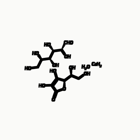 O.O=C1O[C@H]([C@@H](O)CO)C(O)=C1O.O=C[C@H](O)[C@@H](O)[C@H](O)[C@H](O)CO.[CaH2]